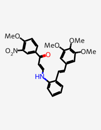 COc1ccc(C(=O)C=CNc2ccccc2C=Cc2cc(OC)c(OC)c(OC)c2)cc1[N+](=O)[O-]